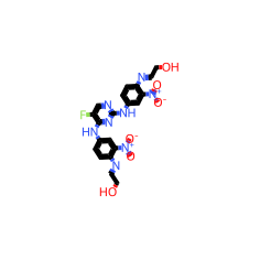 O=[N+]([O-])c1cc(Nc2ncc(F)c(Nc3ccc(N=CCO)c([N+](=O)[O-])c3)n2)ccc1N=CCO